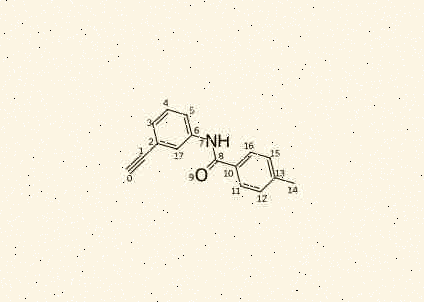 C#Cc1cccc(NC(=O)c2ccc(C)cc2)c1